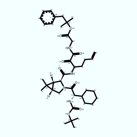 C=CCCC(NC(=O)[C@@H]1[C@@H]2[C@H](CN1C(=O)[C@@H](NC(=O)OC(C)(C)C)C1CCCCC1)C2(C)C)C(=O)C(=O)NCC(=O)OC(C)(C)Cc1ccccc1